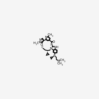 Cc1cc2cc(n1)-c1cnn(C)c1OCCC[C@@H](C1CC1)CN1/C(=N/C2=O)Nc2ccc(N(CCN(C)C)C3CC3)cc21